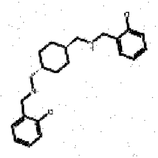 Clc1ccccc1CNC[C@H]1CC[C@H](CNCc2ccccc2Cl)CC1